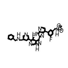 CS(=O)(=O)NCc1cc(F)cc(-c2ccnc3[nH]c(-c4n[nH]c5cnc(-c6cncc(CNCc7ccccc7)c6)c(F)c45)nc23)c1